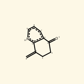 C=C1CCC(=O)c2cccnc21